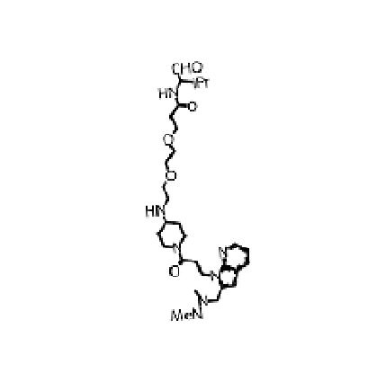 CNN(C)Cc1cc2cccnc2n1CCC(=O)N1CCC(NCCOCCOCCC(=O)NC(C=O)C(C)C)CC1